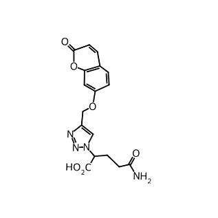 NC(=O)CCC(C(=O)O)n1cc(COc2ccc3ccc(=O)oc3c2)nn1